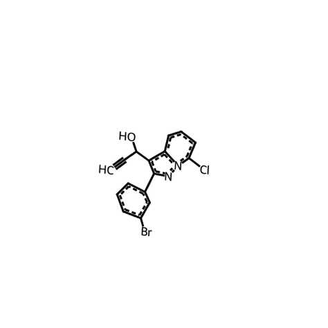 C#CC(O)c1c(-c2cccc(Br)c2)nn2c(Cl)cccc12